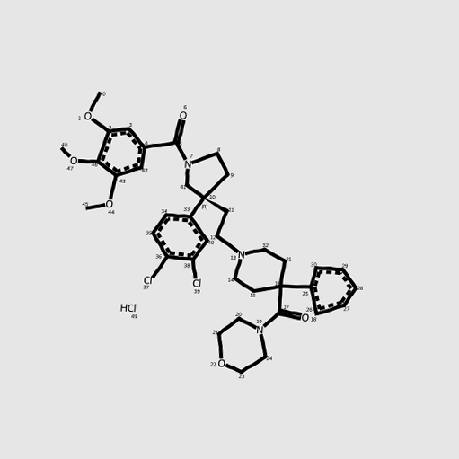 COc1cc(C(=O)N2CC[C@](CCN3CCC(C(=O)N4CCOCC4)(c4ccccc4)CC3)(c3ccc(Cl)c(Cl)c3)C2)cc(OC)c1OC.Cl